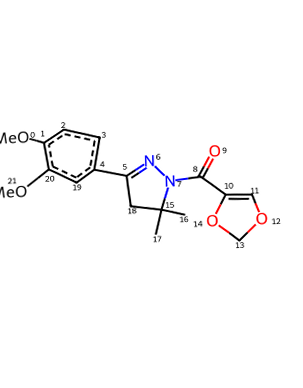 COc1ccc(C2=NN(C(=O)C3=COCO3)C(C)(C)C2)cc1OC